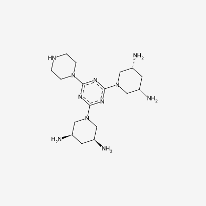 N[C@@H]1C[C@H](N)CN(c2nc(N3CCNCC3)nc(N3C[C@H](N)C[C@H](N)C3)n2)C1